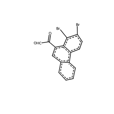 O=CC(=O)c1cc2ccccc2c2ccc(Br)c(Br)c12